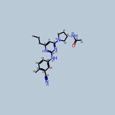 CCCc1cc(N2CC[C@H](NC(C)=O)C2)nc(Nc2ccc(C)c(C#N)c2)n1